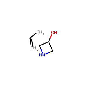 C=CC.OC1CNC1